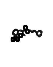 CC(=O)/C(=C\c1cccc([N+](=O)[O-])c1)C(=O)OC/C=C/c1ccccc1